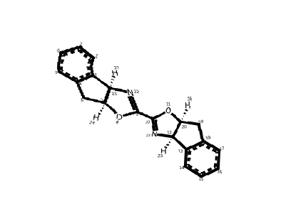 c1ccc2c(c1)C[C@@H]1OC(C3=N[C@@H]4c5ccccc5C[C@@H]4O3)=N[C@H]21